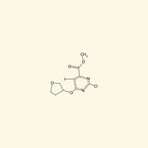 COC(=O)c1nc(Cl)nc(OC2CCOC2)c1I